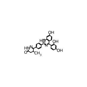 CC1CC(=O)NN=C1c1ccc(NN=C(c2ccc(O)cc2O)c2ccc(O)cc2O)cc1